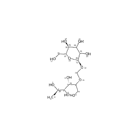 C[C@@H](O)C(O)[C@H](O)C(CO)OCO[C@H]1OC(CO)[C@@H](O)C(O)C1O